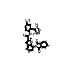 N#Cc1ccc(NC(=O)c2cc3cccc(N4C(=O)c5ccccc5C4=O)c3[nH]2)c(-c2nnn[nH]2)c1